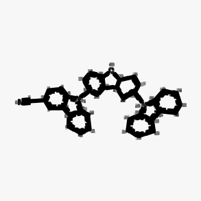 N#Cc1ccc2c(c1)c1ccccc1n2-c1ccc2c(c1)C1C=C(n3c4ccccc4c4ccccc43)C=CC1O2